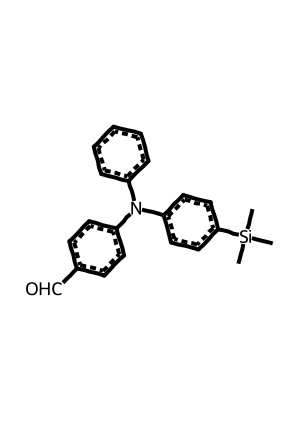 C[Si](C)(C)c1ccc(N(c2ccccc2)c2ccc(C=O)cc2)cc1